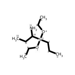 CCC[Si](OCC)(OCC)C(N)CC